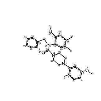 COc1ccc(C)c(N2CCN(C(=O)N(Cc3ccccc3)c3cc(C)c(C)nc3OC)CC2)c1